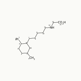 CC1CCC(C(C)C)C(CCCCCNCC(=O)O)C1